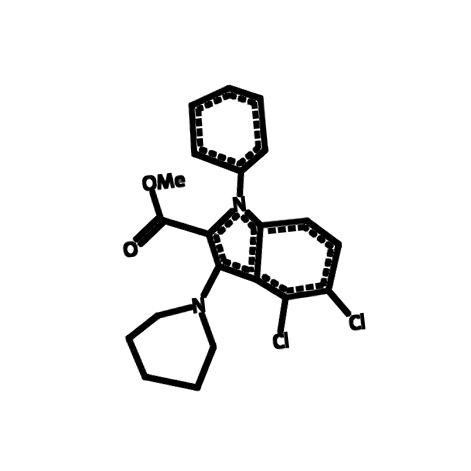 COC(=O)c1c(N2CCCCC2)c2c(Cl)c(Cl)ccc2n1-c1ccccc1